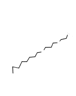 CCCCCCCCOCCCNCCN